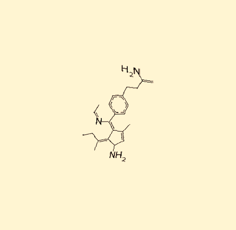 C=C(N)CCc1ccc(C(/N=C\C)=C2\C(C)=CC(N)\C2=C(/C)CC)cc1